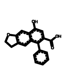 O=C(O)c1cc(O)c2cc3c(cc2c1-c1ccccc1)CCO3